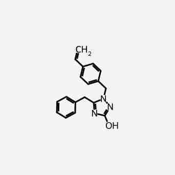 C=Cc1ccc(Cn2nc(O)nc2Cc2ccccc2)cc1